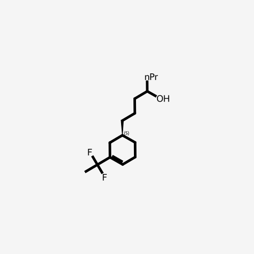 CCCC(O)CCC[C@H]1CCC=C(C(C)(F)F)C1